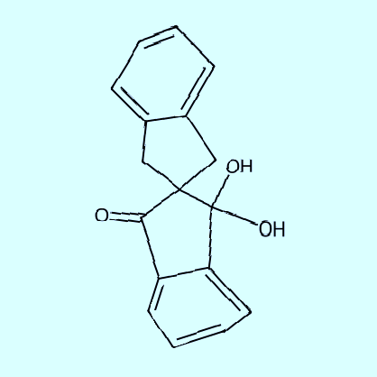 O=C1c2ccccc2C(O)(O)C12Cc1ccccc1C2